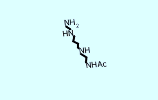 CC(=O)NCCCNCCCCNCCN